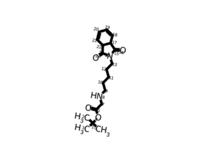 CC(C)(C)OC(=O)CNCCCCCN1C(=O)C2C=CC=CC2C1=O